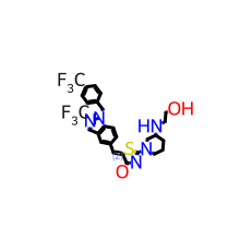 O=C1N=C(N2CCCC(NCCO)C2)S/C1=C\c1ccc2c(cnn2Cc2ccc(C(F)(F)F)cc2C(F)(F)F)c1